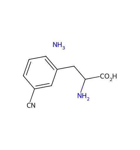 N.N#Cc1cccc(CC(N)C(=O)O)c1